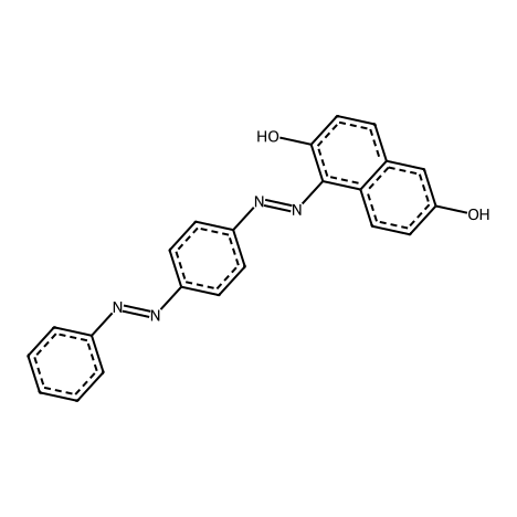 Oc1ccc2c(N=Nc3ccc(N=Nc4ccccc4)cc3)c(O)ccc2c1